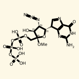 CO[C@]1(COP(=O)(O)OP(=O)(O)OP(=O)(O)O)O[C@@H](C2C=Nc3c2nc(N)[nH]c3=O)[C@@H](N=[N+]=[N-])[C@@H]1O